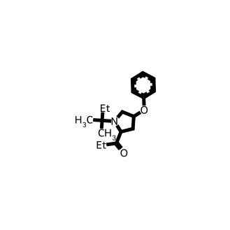 CCC(=O)C1CC(Oc2ccccc2)CN1C(C)(C)CC